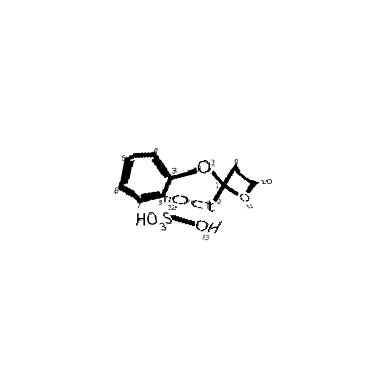 CCCCCCCCC1(Oc2ccccc2)CCO1.O=S(=O)(O)O